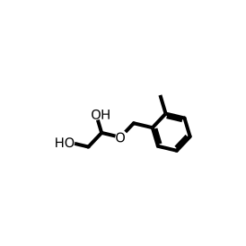 Cc1ccccc1COC(O)CO